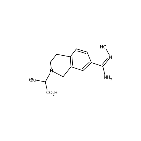 CC(C)(C)C(C(=O)O)N1CCc2ccc(/C(N)=N\O)cc2C1